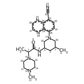 CC1CC(NC(=O)C(C)N2CCN(C)CC2)CN(c2ccc(C#N)c3nccnc23)C1